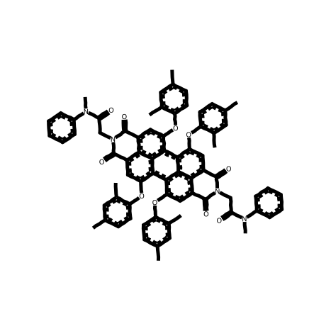 Cc1ccc(Oc2cc3c4c(cc(Oc5ccc(C)cc5C)c5c6c(Oc7ccc(C)cc7C)cc7c8c(cc(Oc9ccc(C)cc9C)c(c2c45)c86)C(=O)N(CC(=O)N(C)c2ccccc2)C7=O)C(=O)N(CC(=O)N(C)c2ccccc2)C3=O)c(C)c1